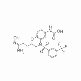 N/C(CCC1CN(S(=O)(=O)c2cccc(C(F)(F)F)c2)c2cc(NC(=O)O)ccc2O1)=N/O